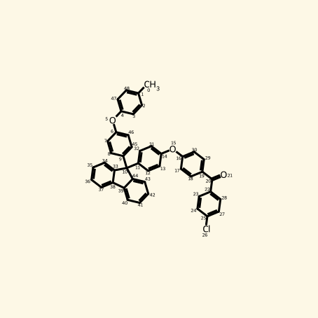 Cc1ccc(Oc2ccc(C3(c4ccc(Oc5ccc(C(=O)c6ccc(Cl)cc6)cc5)cc4)c4ccccc4-c4ccccc43)cc2)cc1